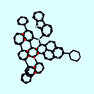 c1ccc(-c2ccc(-c3ccccc3)c(N(c3cc(N(c4cc(-c5ccccc5)ccc4-c4ccccc4)c4cccc5c4oc4ccccc45)c4ccc5cc(C6CCCCC6)cc6ccc3c4c65)c3cccc4c3oc3ccccc34)c2)cc1